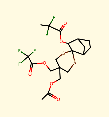 CC(=O)OCC1(COC(=O)C(F)(F)F)CSC2(SC1)C1CCC(C1)C2OC(=O)C(C)(F)F